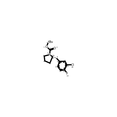 CC(C)(C)OC(=O)N1CCC[C@H]1Cc1ccc(F)c(Cl)c1